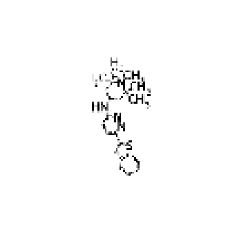 CN1C(C)(C)CC(Nc2ccc(-c3cc4ccccc4s3)nn2)CC1(C)C